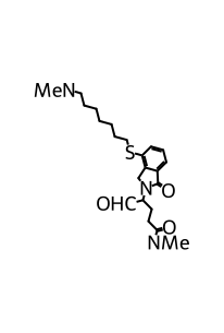 CNCCCCCCCSc1cccc2c1CN(C(C=O)CCC(=O)NC)C2=O